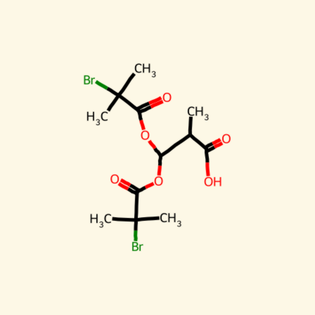 CC(C(=O)O)C(OC(=O)C(C)(C)Br)OC(=O)C(C)(C)Br